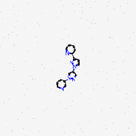 c1ccc(-c2ccn(-c3cnn(-c4cccnc4)c3)n2)nc1